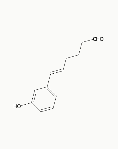 O=[C]CCC/C=C/c1cccc(O)c1